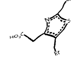 CCc1sc(Br)nc1CC(=O)O